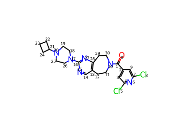 O=C(c1cc(Cl)nc(Cl)c1)N1CCc2cnc(N3CCN(C4CCC4)CC3)nc2CC1